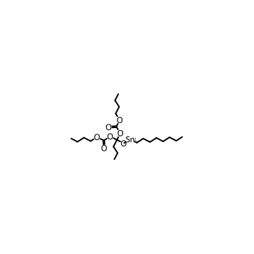 CCCCCCC[CH2][Sn][O]C(CCC)(OC(=O)OCCCC)OC(=O)OCCCC